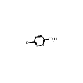 CCc1ccc(C(=O)O)nn1